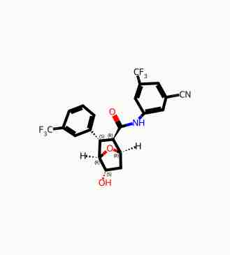 N#Cc1cc(NC(=O)[C@@H]2[C@@H](c3cccc(C(F)(F)F)c3)[C@H]3O[C@@H]2C[C@@H]3O)cc(C(F)(F)F)c1